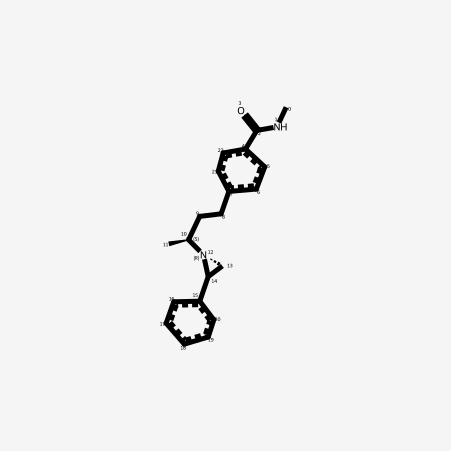 CNC(=O)c1ccc(CC[C@H](C)[N@]2CC2c2ccccc2)cc1